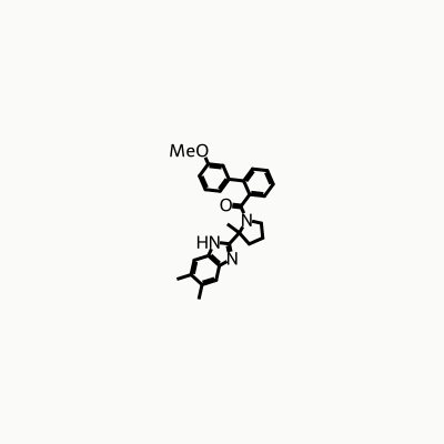 COc1cccc(-c2ccccc2C(=O)N2CCCC2(C)c2nc3cc(C)c(C)cc3[nH]2)c1